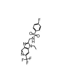 CCn1c(CNS(=O)(=O)c2ccc(F)cc2)nc2cnc(C(F)(F)F)cc21